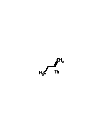 C=CCC.[Th]